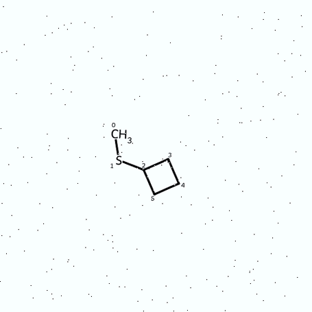 CSC1[CH]CC1